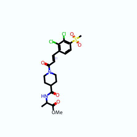 COC(=O)C(C)NC(=O)C1CCN(C(=O)/C=C/c2ccc(S(C)(=O)=O)c(Cl)c2Cl)CC1